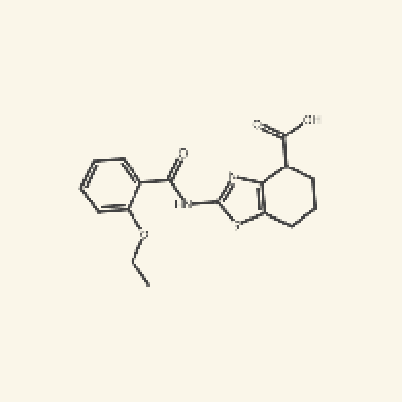 CCOc1ccccc1C(=O)Nc1nc2c(s1)CCCC2C(=O)O